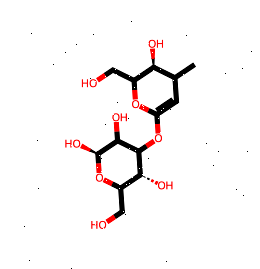 CC1C=C(OC2C(O)[C@H](O)OC(CO)[C@H]2O)OC(CO)[C@H]1O